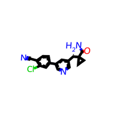 N#Cc1ccc(-c2cncc([CH]C3(C(N)=O)CC3)c2)cc1Cl